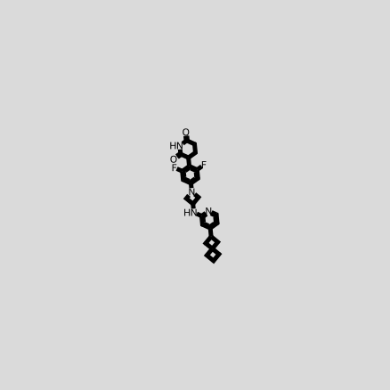 O=C1CCC(c2c(F)cc(N3CC(Nc4cc(C5CC6(CCC6)C5)ccn4)C3)cc2F)C(=O)N1